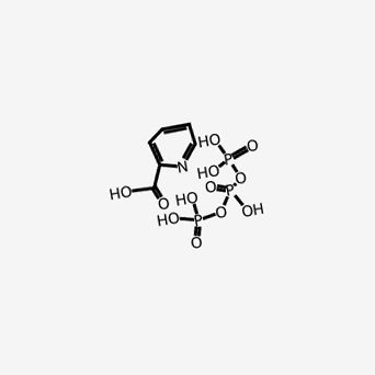 O=C(O)c1ccccn1.O=P(O)(O)OP(=O)(O)OP(=O)(O)O